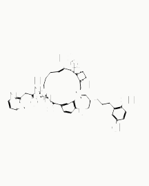 CO[C@H]1/C=C/CCCS(=O)(NC(=O)Cc2ncccn2)=NC(=O)c2ccc3c(c2)N(C[C@@H](CCCc2cc(Cl)ccc2C)CO3)C[C@@H]2CC[C@H]21